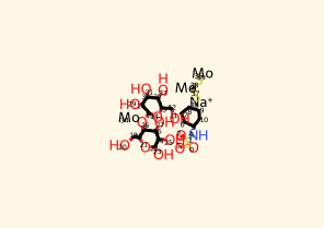 O=S(=O)([O-])NC1CCCCC1.OCC1OC(OC2C(CO)OC(O)C(O)C2O)C(O)C(O)C1O.[Mo].[Mo].[Na+].[S]=[Mo]=[S]